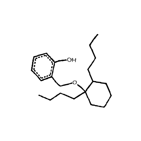 CCCCC1CCCCC1(CCCC)OCc1ccccc1O